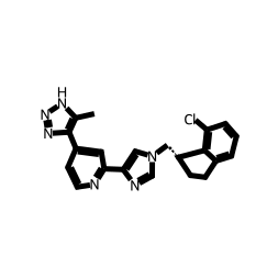 Cc1[nH]nnc1-c1ccnc(-c2cn(C[C@H]3CCc4cccc(Cl)c43)cn2)c1